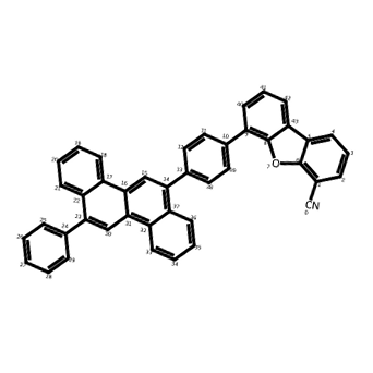 N#Cc1cccc2c1oc1c(-c3ccc(-c4cc5c6ccccc6c(-c6ccccc6)cc5c5ccccc45)cc3)cccc12